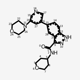 O=C(NC1CCOCC1)c1n[nH]c2ccc(-c3cncc(N4CCOCC4)c3)cc12